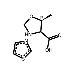 C[C@@H]1OCNC1C(=O)O.c1cscn1